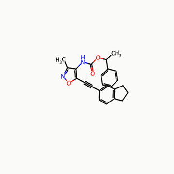 Cc1noc(C#Cc2ccc3c(c2)CCC3)c1NC(=O)OC(C)c1ccccc1